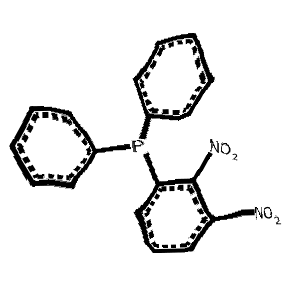 O=[N+]([O-])c1cccc(P(c2ccccc2)c2ccccc2)c1[N+](=O)[O-]